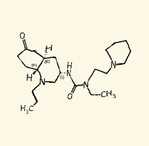 CCCN1C[C@@H](NC(=O)N(CC)CCN2CCCCC2)C[C@@H]2CC(=O)CC[C@H]21